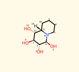 O[C@@H]1[C@@H](O)[C@H](O)N2CCCC[C@H]2[C@H]1O